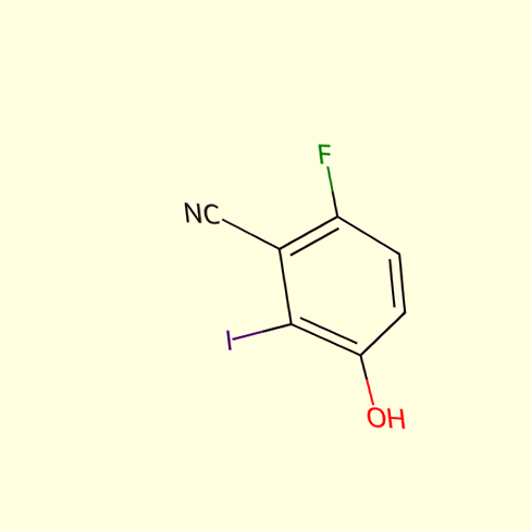 N#Cc1c(F)ccc(O)c1I